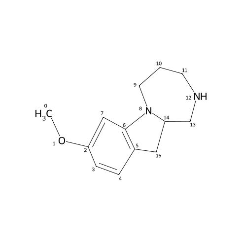 COc1ccc2c(c1)N1CCCNCC1C2